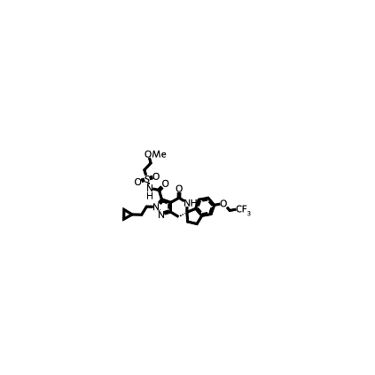 COCCS(=O)(=O)NC(=O)c1c2c(nn1CCC1CC1)C[C@]1(CCc3cc(OCC(F)(F)F)ccc31)NC2=O